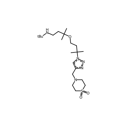 CC(C)(C)NCCC(C)(C)OCCC(C)(C)n1cc(CN2CCS(=O)(=O)CC2)nn1